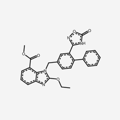 CCOc1nc2cccc(C(=O)OC)c2n1Cc1ccc(-c2ccccc2)c(-c2noc(=O)[nH]2)c1